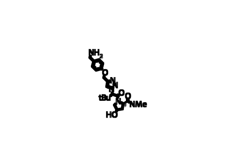 CNC(=O)[C@H]1CC(O)CN1C(=O)C(n1cc(COc2ccc(CN)cc2)nn1)C(C)(C)C